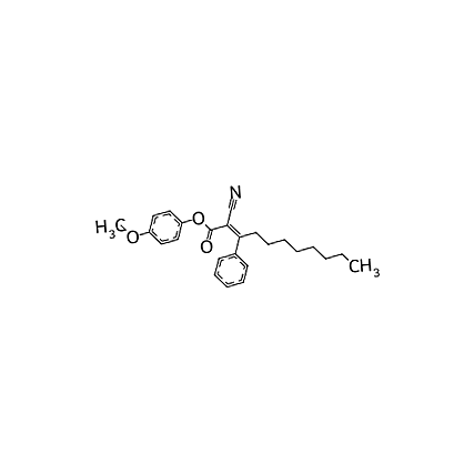 CCCCCCCCC(=C(C#N)C(=O)Oc1ccc(OC)cc1)c1ccccc1